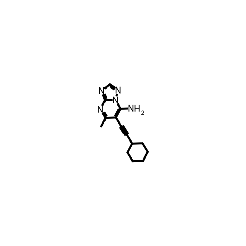 Cc1nc2ncnn2c(N)c1C#CC1CCCCC1